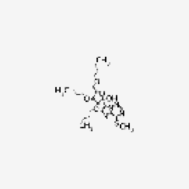 CCCCOC[C@H]1O[C@@](O)(c2cnc3c(SC)ncnn23)[C@H](OCCCC)[C@@H]1OCCCC